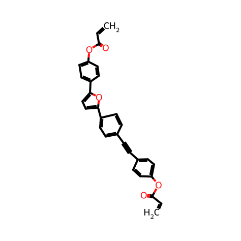 C=CC(=O)Oc1ccc(C#Cc2ccc(-c3ccc(-c4ccc(OC(=O)C=C)cc4)o3)cc2)cc1